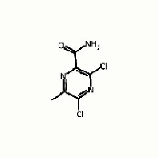 Cc1nc(C(N)=O)c(Cl)nc1Cl